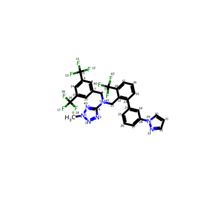 Cn1nnc(N(Cc2cc(C(F)(F)F)cc(C(F)(F)F)c2)Cc2c(-c3cccc(-n4cccn4)c3)cccc2C(F)(F)F)n1